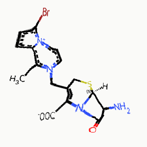 Cc1c2ccc(Br)[n+]-2ccn1CC1=C(C(=O)[O-])N2C(=O)C(N)[C@@H]2SC1